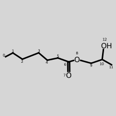 CCCCCCC(=O)OCC(C)O